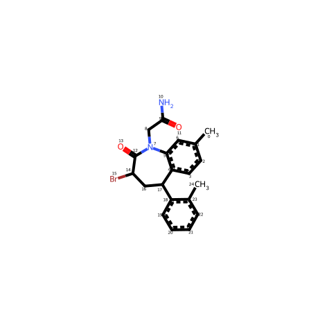 Cc1ccc2c(c1)N(CC(N)=O)C(=O)C(Br)CC2c1ccccc1C